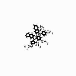 COc1ccc(N2c3cc4c(cc3B3c5cc6c(cc5N(c5ccc(C)cc5C)c5cc(C)cc2c53)CCCC6)CCCC4)c(C)c1